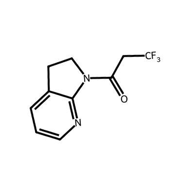 O=C(CC(F)(F)F)N1CCc2cccnc21